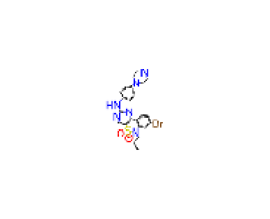 C=CCN1c2cc(Br)ccc2-c2nc(Nc3ccc(N4CCN(C)CC4)cc3)ncc2S1(=O)=O